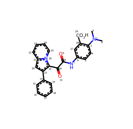 CN(C)c1ccc(NC(=O)C(=O)c2c(-c3ccccc3)cc3ccccn23)cc1C(=O)O